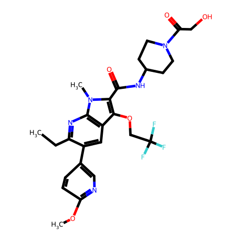 CCc1nc2c(cc1-c1ccc(OC)nc1)c(OCC(F)(F)F)c(C(=O)NC1CCN(C(=O)CO)CC1)n2C